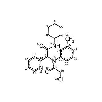 O=C(NC1CCCCC1)C(c1ccccn1)N(C(=O)CCl)c1cccc(C(F)(F)F)c1